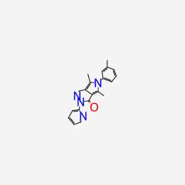 Cc1cccc(-n2c(C)c3cnn(-c4ccccn4)c(=O)c3c2C)c1